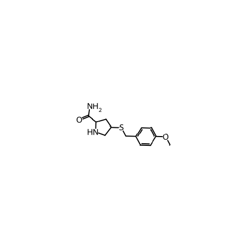 COc1ccc(CSC2CNC(C(N)=O)C2)cc1